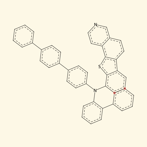 c1ccc(-c2ccc(-c3ccc(N(c4ccccc4-c4ccccc4)c4cccc5c4sc4c6ccncc6ccc54)cc3)cc2)cc1